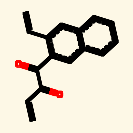 C=CC(=O)C(=O)c1cc2ccccc2cc1C=C